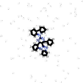 c1ccc(-c2nc(-n3c4ccccc4c4ccccc43)nc3c4ccccc4n4c5ccccc5nc4c23)cc1